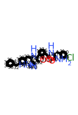 NC(=O)[C@H](Cc1ccc(Cl)cc1)NC(=O)c1cccc2c1OCCC2NC(Cc1ccc(Cc2ccccc2)cc1)c1cnc[nH]1